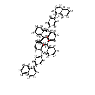 c1ccc(N(c2ccc(-c3cccc4ccccc34)cc2)c2ccccc2-c2ccc(-c3ccccc3N(c3ccccc3)c3ccc(-c4cccc5ccccc45)cc3)cc2)cc#1